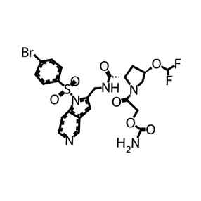 NC(=O)OCC(=O)N1C[C@H](OC(F)F)C[C@H]1C(=O)NCc1cc2cnccc2n1S(=O)(=O)c1ccc(Br)cc1